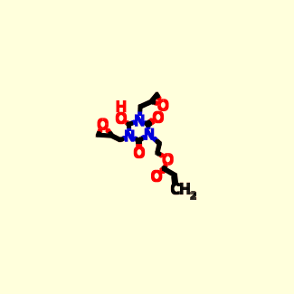 C=CC(=O)OCCN1C(=O)N(CC2CO2)C(O)N(CC2CO2)C1=O